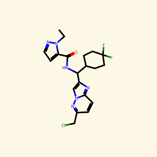 CCn1nccc1C(=O)NC(c1cn2nc(CCl)ccc2n1)C1CCC(F)(F)CC1